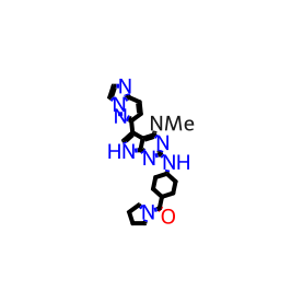 CNc1nc(NC2CCC(C(=O)N3CCCC3)CC2)nc2[nH]cc(-c3ccc4nccn4n3)c12